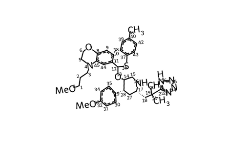 COCCCN1CCOc2ccc(C(O[C@H]3CN[C@H](CC(C)(C)c4nnn[nH]4)C[C@@H]3c3ccc(OC)cc3)Sc3ccc(C)cc3)cc21